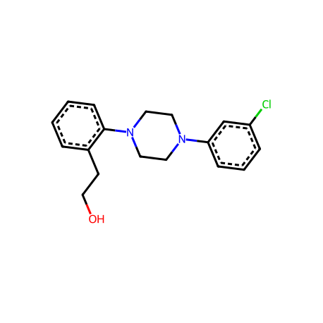 OCCc1ccccc1N1CCN(c2cccc(Cl)c2)CC1